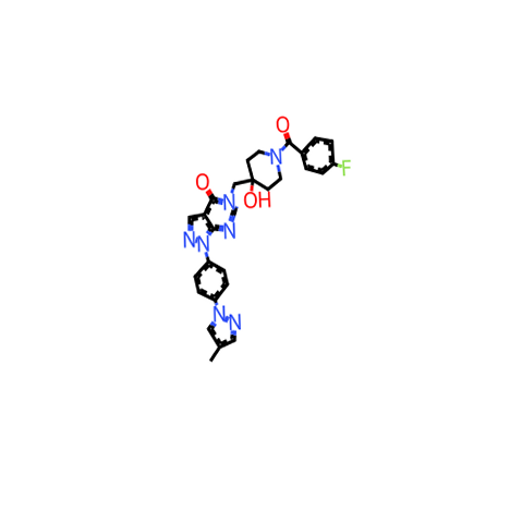 Cc1cnn(-c2ccc(-n3ncc4c(=O)n(CC5(O)CCN(C(=O)c6ccc(F)cc6)CC5)cnc43)cc2)c1